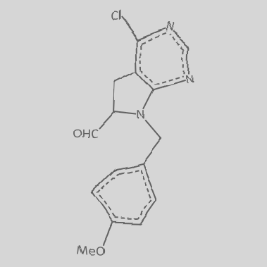 COc1ccc(CN2c3ncnc(Cl)c3CC2C=O)cc1